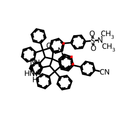 CN(C)S(=O)(=O)c1ccc(CN2C(=O)C(C(c3c[nH]cn3)C(c3ccccc3)(c3ccccc3)c3ccccc3)(C(c3c[nH]cn3)C(c3ccccc3)(c3ccccc3)c3ccccc3)c3ccc(-c4ccc(C#N)cc4)cc32)cc1